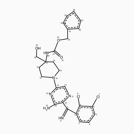 N=C(c1cccc(Cl)c1Cl)c1ncc(N2CCC(CO)(NC(=O)OCc3ccccc3)CC2)nc1N